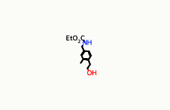 CCOC(=O)NCc1ccc(CCO)c(C)c1